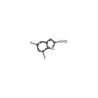 O=Cc1cc2cc(F)cc(F)c2o1